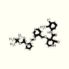 Cc1c(F)cccc1NC(=S)C1=C(OCc2ccncc2OC[C@@H]2CCCN2C(=O)OC(C)(C)C)CCNC1=O